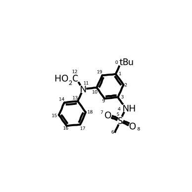 CC(C)(C)c1cc(NS(C)(=O)=O)cc(N(C(=O)O)c2ccccc2)c1